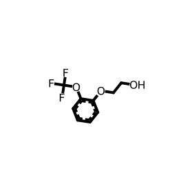 OCCOc1ccccc1OC(F)(F)F